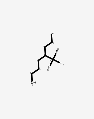 CCCC([CH]CCO)C(F)(F)F